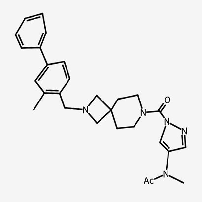 CC(=O)N(C)c1cnn(C(=O)N2CCC3(CC2)CN(Cc2ccc(-c4ccccc4)cc2C)C3)c1